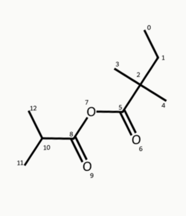 CCC(C)(C)C(=O)OC(=O)C(C)C